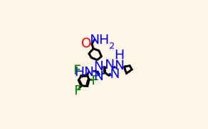 NC(=O)C1CCC(n2c(Nc3c(F)cc(F)cc3F)nc3cnc(NC4CCC4)nc32)CC1